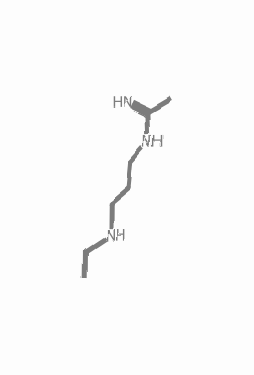 CCNCCCNC(C)=N